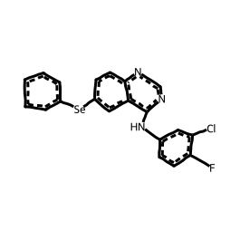 Fc1ccc(Nc2ncnc3ccc([Se]c4ccccc4)cc23)cc1Cl